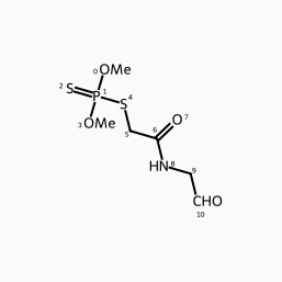 COP(=S)(OC)SCC(=O)NCC=O